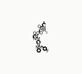 CC(C)CC(N)C(=O)NCC(=O)OCn1c(N(C)C2CCN(c3nc4ccccc4n3Cc3ccc(F)cc3)CC2)nccc1=O